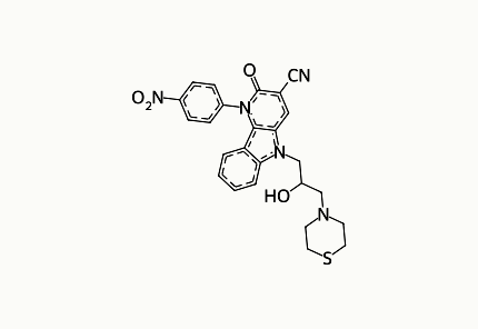 N#Cc1cc2c(c3ccccc3n2CC(O)CN2CCSCC2)n(-c2ccc([N+](=O)[O-])cc2)c1=O